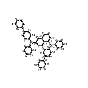 c1ccc(-c2ccc(N(c3ccccc3)c3ccc4c(N(c5ccccc5)c5ccc(-c6ccccc6)cc5)cccc4c3)cc2)cc1